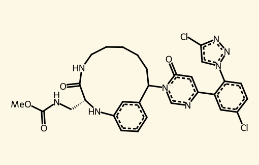 COC(=O)NC[C@H]1Nc2cccc(c2)C(n2cnc(-c3cc(Cl)ccc3-n3cc(Cl)nn3)cc2=O)CCCCCNC1=O